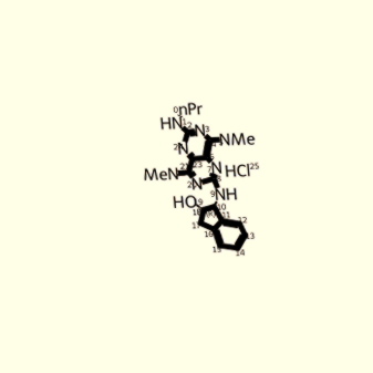 CCCNc1nc(NC)c2nc(N[C@@H]3c4ccccc4C[C@@H]3O)nc(NC)c2n1.Cl